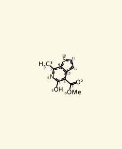 COC(=O)c1c(O)nc(C)c2sccc12